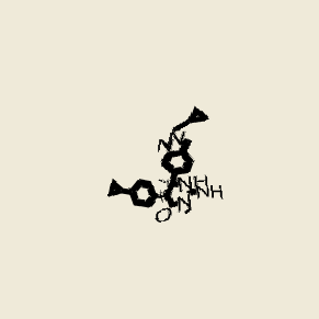 CN1C(=N)N[C@](C)(c2ccc3cn(CC4CC4)nc3c2)[C@H](c2ccc(C3CC3)cc2)C1=O